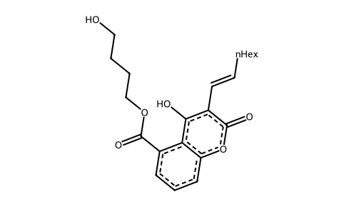 CCCCCCC=Cc1c(O)c2c(C(=O)OCCCCO)cccc2oc1=O